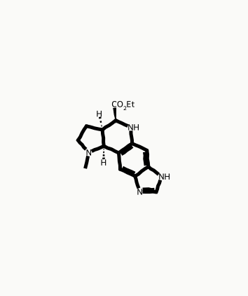 CCOC(=O)[C@H]1Nc2cc3[nH]cnc3cc2[C@@H]2[C@H]1CCN2C